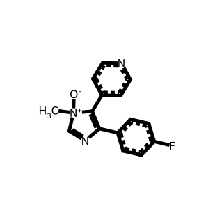 C[N+]1([O-])C=NC(c2ccc(F)cc2)=C1c1ccncc1